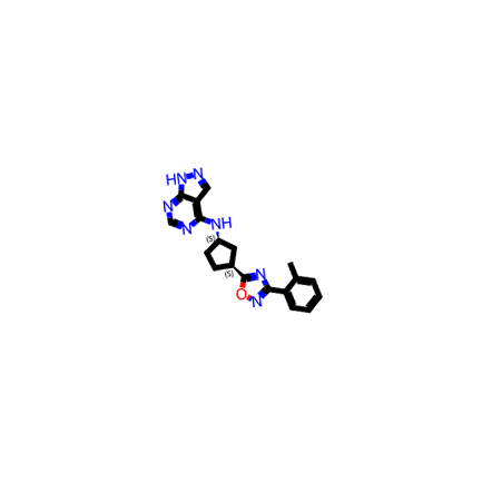 Cc1ccccc1-c1noc([C@H]2CC[C@H](Nc3ncnc4[nH]ncc34)C2)n1